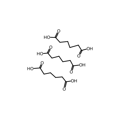 O=C(O)CCCCC(=O)O.O=C(O)CCCCC(=O)O.O=C(O)CCCCC(=O)O